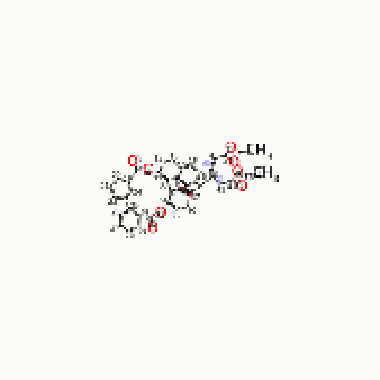 CC1OC(/C=C/c2ccc3c4c(ccc3c2)OC(=O)c2cccc(c2)-c2ccccc2C(=O)Oc2ccc3cc(/C=C/C5OC(C)O5)ccc3c2-4)O1